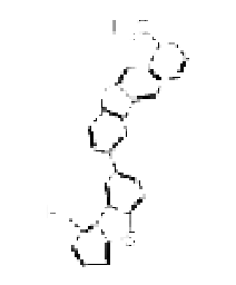 CC1CC=Cc2cc3c(cc21)oc1ccc(-c2ccc4sc5cccc(Br)c5c4c2)cc13